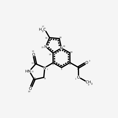 COC(=O)c1cc(N2CC(=O)NC2=O)c2nc(C)cn2c1